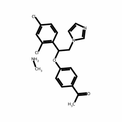 CC(=O)c1ccc(OC(Cn2ccnc2)c2ccc(Cl)cc2Cl)cc1.CN